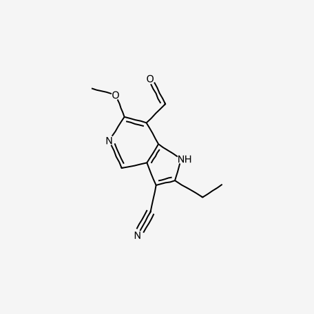 CCc1[nH]c2c(C=O)c(OC)ncc2c1C#N